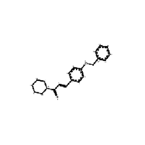 O=C(/C=C/c1ccc(OCc2ccccc2)cc1)C1CCCCC1